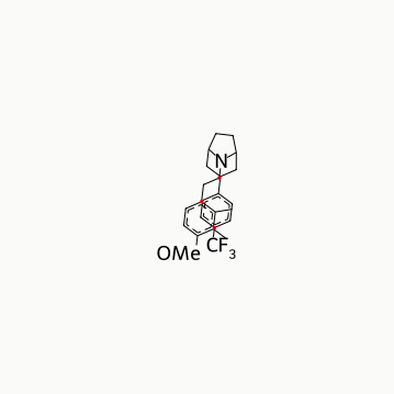 COc1ccc(CCN2C3CCC2CC(c2ccc(C(F)(F)F)cc2)C3)c(C)c1C